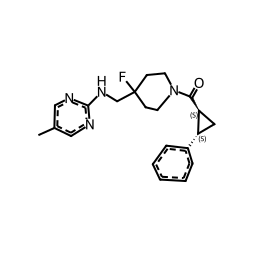 Cc1cnc(NCC2(F)CCN(C(=O)[C@H]3C[C@@H]3c3ccccc3)CC2)nc1